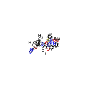 Cc1c(C2COc3ccc(-c4cccc(C(=O)OC(C)(C)C)n4)cc3N2C(=O)Nc2nc3ccccc3s2)cnn1CC12CC3(C)CC(C)(C1)CC(OCCN=[N+]=[N-])(C3)C2